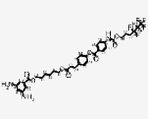 Nc1cc(N)cc(C(=O)OCCCCCCOC(=O)C=Cc2ccc(OC(=O)c3ccc(NC(=O)OCCCC(F)(F)C(F)(F)C(F)(F)F)cc3)cc2)c1